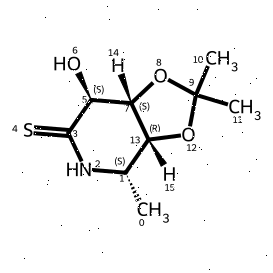 C[C@@H]1NC(=S)[C@@H](O)[C@@H]2OC(C)(C)O[C@@H]21